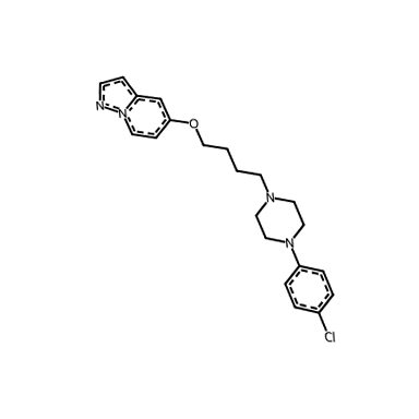 Clc1ccc(N2CCN(CCCCOc3ccn4nccc4c3)CC2)cc1